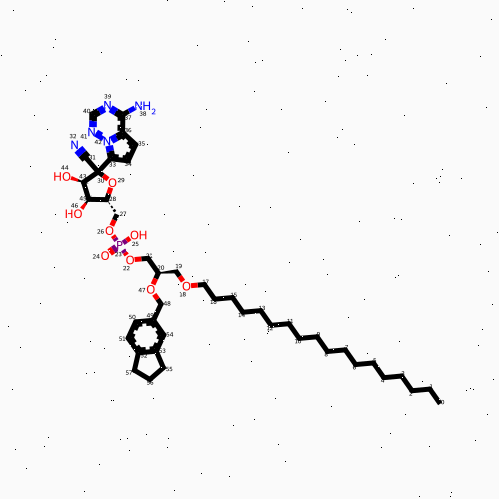 CCCCCCCCCCCCCCCCCCOC[C@H](COP(=O)(O)OC[C@H]1OC(C#N)(c2ccc3c(N)ncnn23)[C@H](O)[C@@H]1O)OCc1ccc2c(c1)CCC2